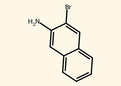 Nc1cc2ccccc2cc1Br